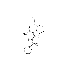 CCCCC1CCCc2sc(NC(=O)N3CCCCC3)c(C(=O)O)c21